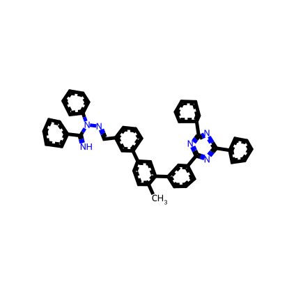 Cc1ccc(-c2cccc(/C=N/N(C(=N)c3ccccc3)c3ccccc3)c2)cc1-c1cccc(-c2nc(-c3ccccc3)nc(-c3ccccc3)n2)c1